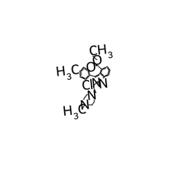 CCOC(=O)c1cccc2nn(CCN3CCN(C)CC3)c(-c3ccc(C)cc3Cl)c12